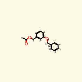 CC(=O)OCc1cccc(OCc2ccccc2)c1